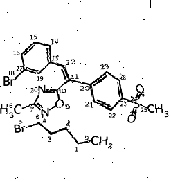 CCCCCBr.Cc1noc(C(=Cc2cccc(Br)c2)c2ccc(S(C)(=O)=O)cc2)n1